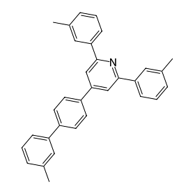 Cc1cccc(-c2ccc(-c3cc(-c4cccc(C)c4)nc(-c4cccc(C)c4)c3)cc2)c1